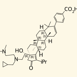 CC(C)C1=C2[C@H]3CC[C@@H]4[C@@]5(C)CC=C(c6ccc(C(=O)O)cc6)C(C)(C)[C@@H]5CC[C@@]4(C)[C@]3(C)CC[C@@]2([C@@H](O)CN(CCN(C)C)CC2CC2)CC1=O